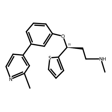 CNCC[C@H](Oc1cccc(-c2ccnc(C)c2)c1)c1cccs1